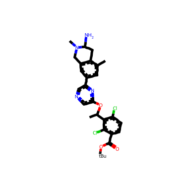 Cc1cc(-c2cncc(OC(C)c3c(Cl)ccc(C(=O)OC(C)(C)C)c3Cl)n2)cc2c1CC(N)N(C)C2